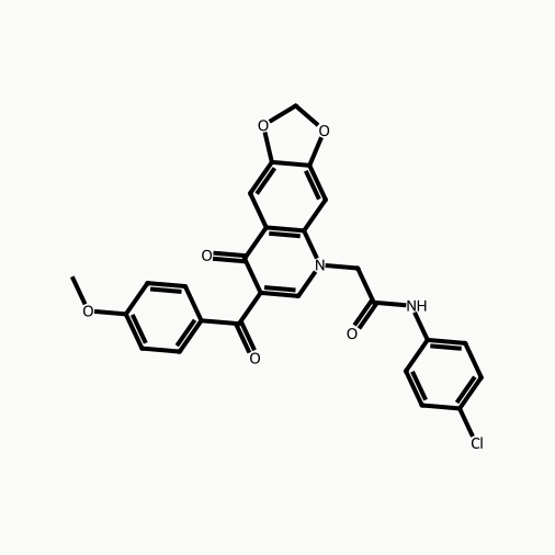 COc1ccc(C(=O)c2cn(CC(=O)Nc3ccc(Cl)cc3)c3cc4c(cc3c2=O)OCO4)cc1